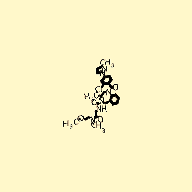 COCCN(C)C(=O)CNC(=O)N1Cc2ccccc2N(C(=O)c2ccc(-n3ccc(C)n3)cc2Cl)C[C@H]1C